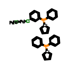 [Cl][Pd][Cl].[Fe+2].[Pd].c1ccc(P(c2ccccc2)[c-]2cccc2)cc1.c1ccc(P(c2ccccc2)[c-]2cccc2)cc1